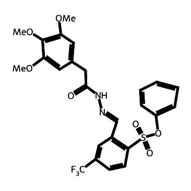 COc1cc(CC(=O)N/N=C/c2cc(C(F)(F)F)ccc2S(=O)(=O)Oc2ccccc2)cc(OC)c1OC